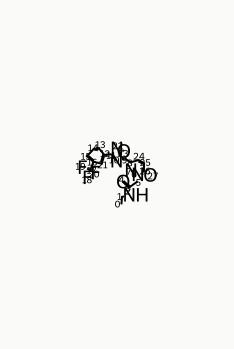 CCNC(=O)Cn1nc(-c2nc(-c3cccc(C(F)(F)F)c3)no2)ccc1=O